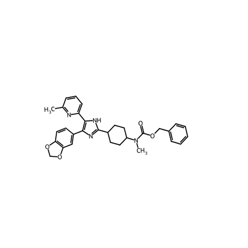 Cc1cccc(-c2[nH]c(C3CCC(N(C)C(=O)OCc4ccccc4)CC3)nc2-c2ccc3c(c2)OCO3)n1